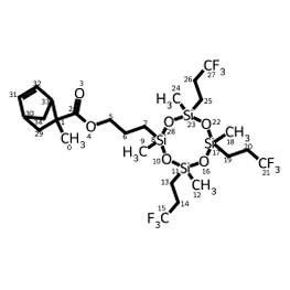 CC1(C(=O)OCCC[Si]2(C)O[Si](C)(CCC(F)(F)F)O[Si](C)(CCC(F)(F)F)O[Si](C)(CCC(F)(F)F)O2)CC2C=CC1C2